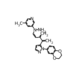 C=C(/C=C\N(N)c1cncc(C)c1)C(=C)c1ccnn1-c1ccc2c(c1)OCCO2